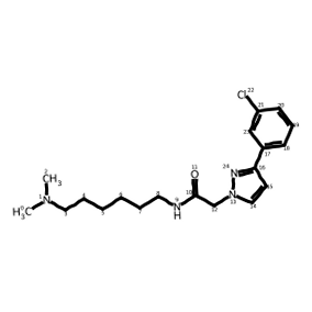 CN(C)CCCCCCNC(=O)Cn1ccc(-c2cccc(Cl)c2)n1